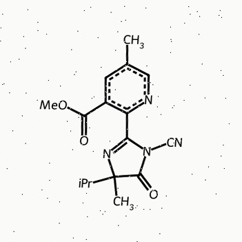 COC(=O)c1cc(C)cnc1C1=NC(C)(C(C)C)C(=O)N1C#N